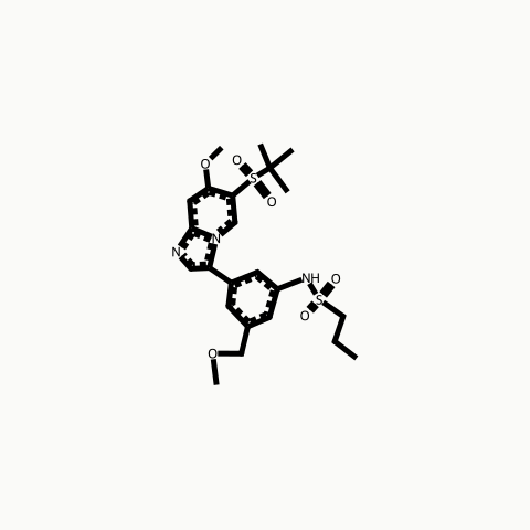 CCCS(=O)(=O)Nc1cc(COC)cc(-c2cnc3cc(OC)c(S(=O)(=O)C(C)(C)C)cn23)c1